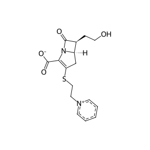 O=C([O-])C1=C(SCC[n+]2ccccc2)C[C@@H]2[C@H](CCO)C(=O)N12